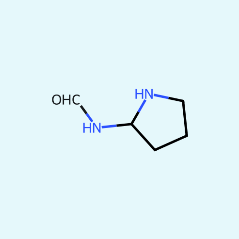 O=CNC1CCCN1